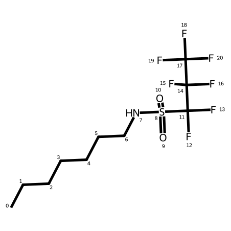 CCCCCCCNS(=O)(=O)C(F)(F)C(F)(F)C(F)(F)F